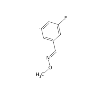 CON=Cc1c[c]cc(F)c1